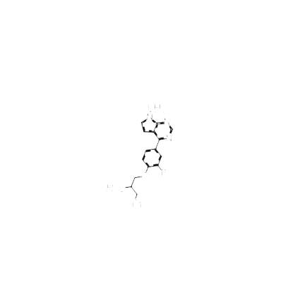 CC(C)CC(C)COc1ccc(-c2ncnc3c2ccn3C)cc1F